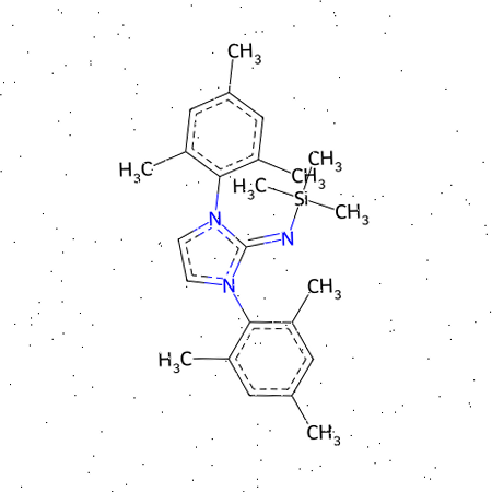 Cc1cc(C)c(-n2ccn(-c3c(C)cc(C)cc3C)c2=N[Si](C)(C)C)c(C)c1